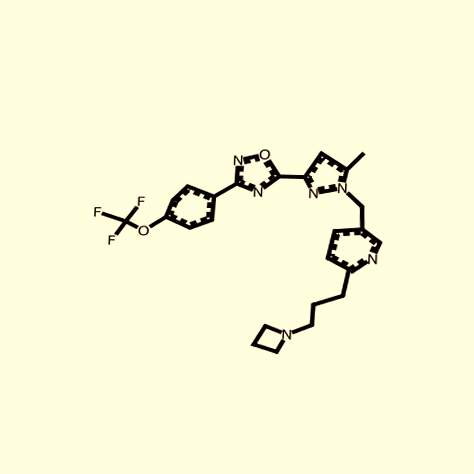 Cc1cc(-c2nc(-c3ccc(OC(F)(F)F)cc3)no2)nn1Cc1ccc(CCCN2CCC2)nc1